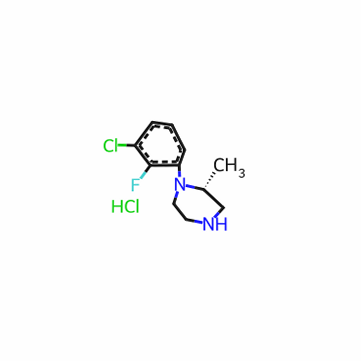 C[C@@H]1CNCCN1c1cccc(Cl)c1F.Cl